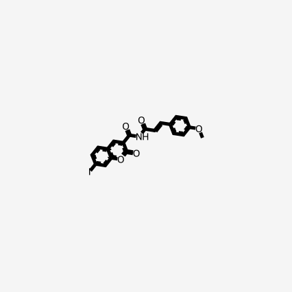 COc1ccc(C=CC(=O)NC(=O)c2cc3ccc(I)cc3oc2=O)cc1